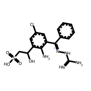 N=C(N)N/N=C(\c1ccccc1)c1cc(Cl)cc(C(O)CS(=O)(=O)O)c1N